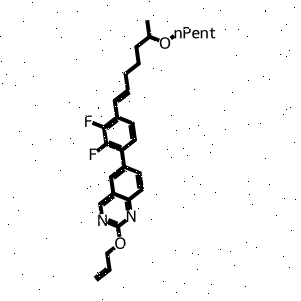 C=CCOc1ncc2cc(-c3ccc(C=CCCCC(C)OCCCCC)c(F)c3F)ccc2n1